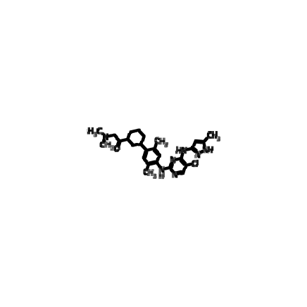 Cc1cc(Nc2nc(Nc3cc(C)c(C4CCCC(C(=O)CN(C)C)C4)cc3C)ncc2Cl)n[nH]1